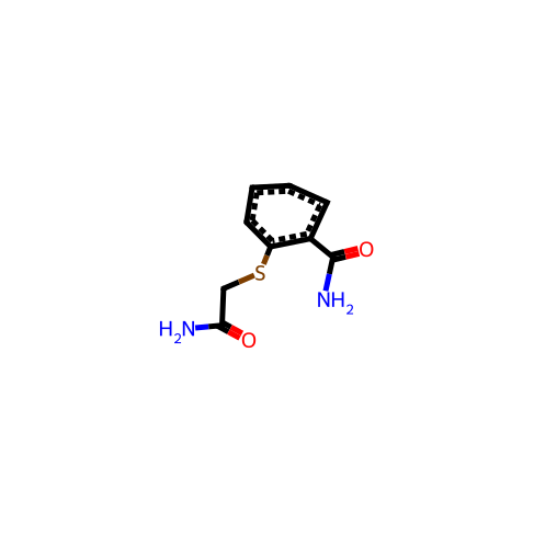 NC(=O)CSc1ccccc1C(N)=O